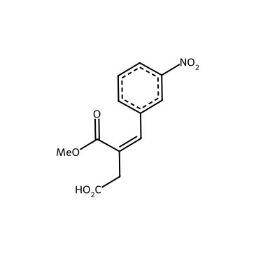 COC(=O)C(=Cc1cccc([N+](=O)[O-])c1)CC(=O)O